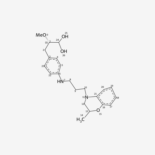 CO[C@@H](Cc1ccc(NCCCN2CC(C)Oc3ccccc32)cc1)C(O)O